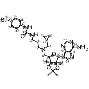 CC1(C)O[C@@H]2[C@H](O1)[C@@H](CN(CCCNC(=O)Nc1ccc(C(C)(C)C)cc1)CC1CC1)O[C@H]2n1cnc2c(N)ncnc21